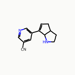 N#Cc1cncc(C2=CCC3CCNC23)c1